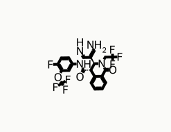 N=C/C(=C\N)[C@@H]1[C@@H](C(=O)Nc2ccc(F)c(OC(F)(F)F)c2)c2ccccc2C(=O)N1CC(F)(F)F